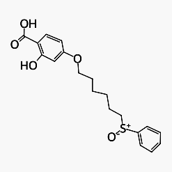 O=C(O)c1ccc(OCCCCCC[S+]([O-])c2ccccc2)cc1O